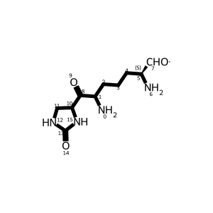 NC(CCC[C@H](N)[C]=O)C(=O)C1CNC(=O)N1